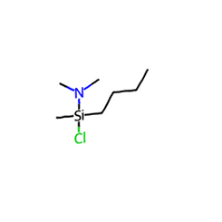 CCCC[Si](C)(Cl)N(C)C